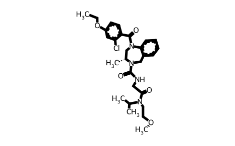 CCOc1ccc(C(=O)N2C[C@@H](C)N(C(=O)NCC(=O)N(CCOC)C(C)C)Cc3ccccc32)c(Cl)c1